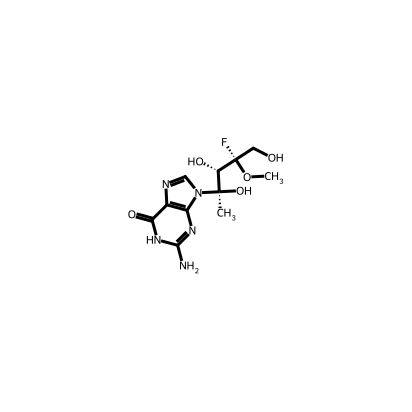 CO[C@](F)(CO)[C@@H](O)[C@@](C)(O)n1cnc2c(=O)[nH]c(N)nc21